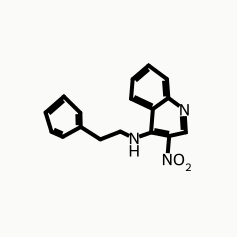 O=[N+]([O-])c1cnc2ccccc2c1NCCc1ccccc1